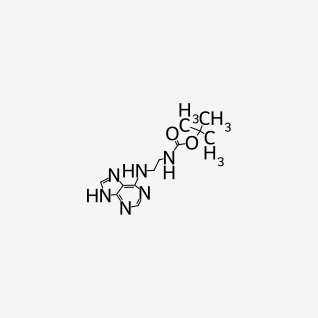 CC(C)(C)OC(=O)NCCNc1ncnc2[nH]cnc12